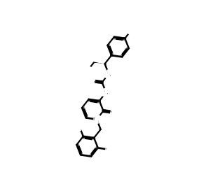 Cc1ccc([C@H](CC(=O)O)NC(=O)Nc2cccn(Cc3c(O)cccc3Cl)c2=O)cc1